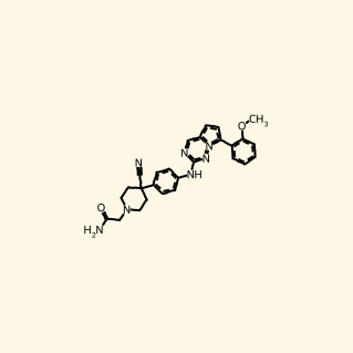 COc1ccccc1-c1ccc2cnc(Nc3ccc(C4(C#N)CCN(CC(N)=O)CC4)cc3)nn12